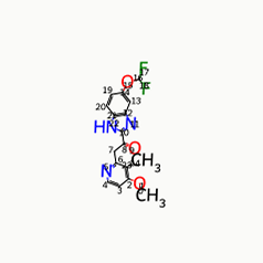 COc1ccnc(CC(=O)c2nc3cc(OC(F)F)ccc3[nH]2)c1C